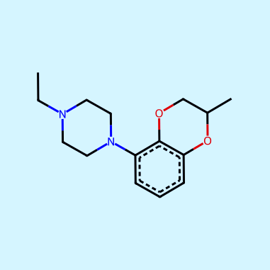 CCN1CCN(c2cccc3c2OCC(C)O3)CC1